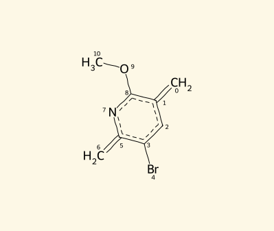 C=c1cc(Br)c(=C)nc1OC